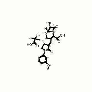 COc1cccc(N2CCC(=CC3=C(C(=O)O)N4C(=O)[C@@H](N)[C@H]4SC3)C2=O)c1.O=C(O)C(F)(F)F